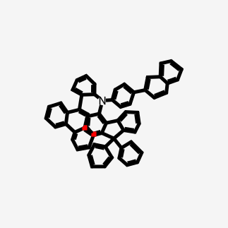 c1ccc(C2(c3ccccc3)c3ccccc3-c3c(N(c4ccc(-c5ccc6ccccc6c5)cc4)c4ccccc4-c4cc5ccccc5c5ccccc45)cccc32)cc1